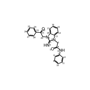 N=c1n(CC(=O)Nc2ccccc2)c2ccccc2n1CC(=O)c1ccccc1